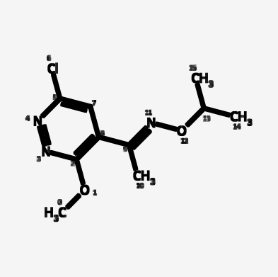 COc1nnc(Cl)cc1C(C)=NOC(C)C